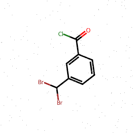 O=C(Cl)c1cccc(C(Br)Br)c1